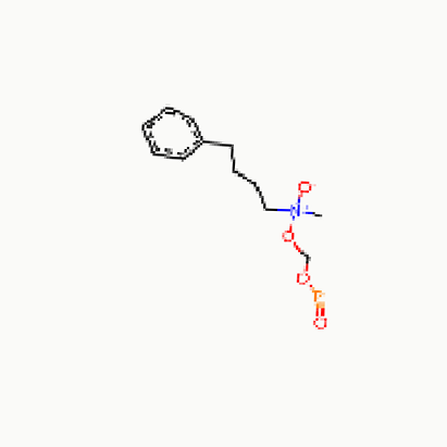 C[N+]([O-])(CCCCc1ccccc1)OCOP=O